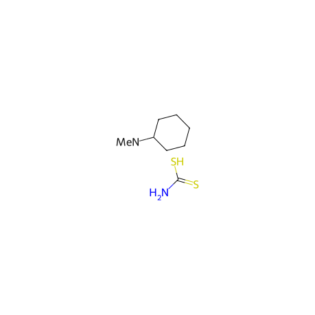 CNC1CCCCC1.NC(=S)S